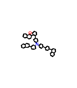 c1cc(-c2ccc3ccccc3c2)cc(N(c2ccc(-c3ccc(-c4cccc5ccccc45)cc3)cc2)c2ccc(-c3cccc4oc5c6ccccc6ccc5c34)cc2)c1